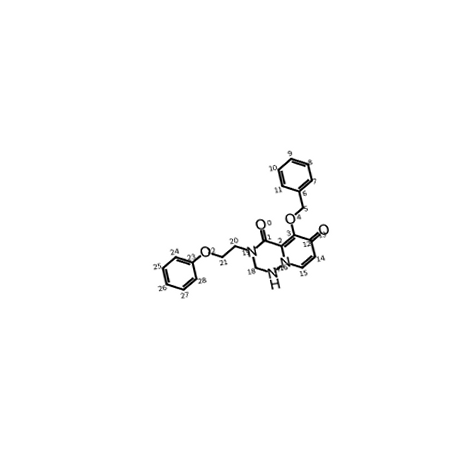 O=C1c2c(OCc3ccccc3)c(=O)ccn2NCN1CCOc1ccccc1